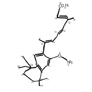 CCCOc1cc2c(cc1C(C)=CC=CC(C)=CC(=O)O)C(C)(C)CCC2(C)C